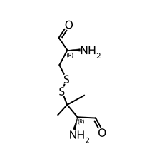 CC(C)(SSC[C@H](N)C=O)[C@H](N)C=O